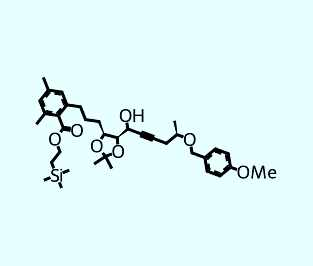 COc1ccc(CO[C@H](C)CC#CC(O)[C@H]2OC(C)(C)O[C@H]2CCCc2cc(C)cc(C)c2C(=O)OCC[Si](C)(C)C)cc1